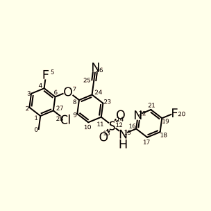 Cc1ccc(F)c(Oc2ccc(S(=O)(=O)Nc3ccc(F)cn3)cc2C#N)c1Cl